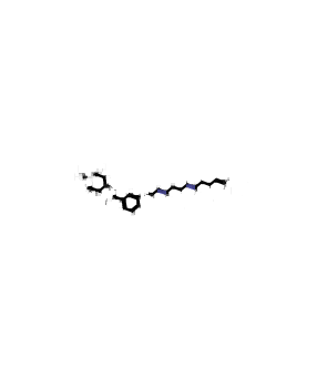 CC(C)=CCC/C(C)=C/CC/C(C)=C/CSc1cccc(C(=O)NC2CC(C)(C)N(O)C(C)(C)C2)c1